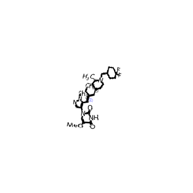 C=C/C(=C\c1c(-n2cc(OC)c(=O)[nH]c2=O)cnn1C)C[C@@H]1CCN(CC2CCC(F)(F)CC2)[C@@H](C)C1